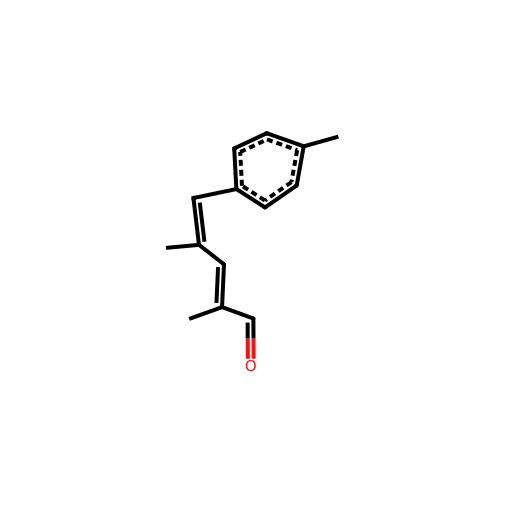 CC(=C/c1ccc(C)cc1)/C=C(\C)C=O